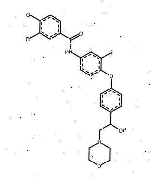 O=C(Nc1ccc(Oc2ccc(C(O)CN3CCOCC3)cc2)c(F)c1)c1ccc(Cl)c(Cl)c1